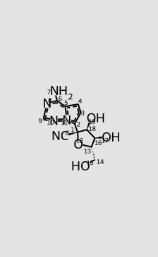 N#C[C@]1(c2ccc3c(N)ncnn23)O[C@@H](CO)[C@H](O)[C@@H]1O